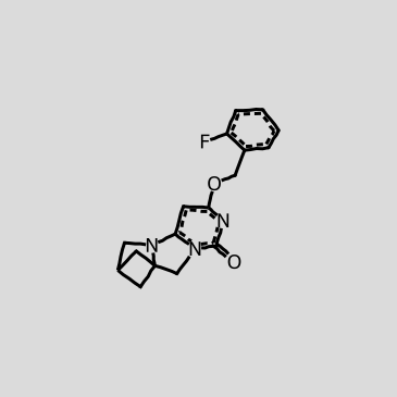 O=c1nc(OCc2ccccc2F)cc2n1CC13CC(CN21)C3